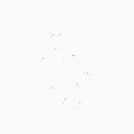 CCc1ccc(N(CC)C(=O)N2CC(C)(CN(C)c3cccnc3OC)C2)c(OC)c1